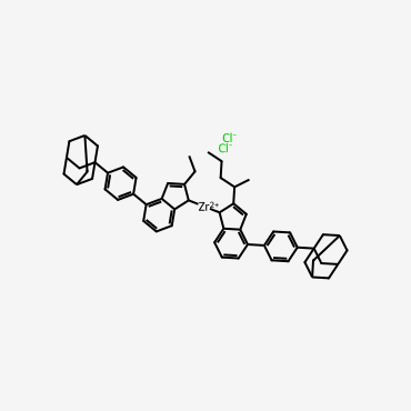 CCCC(C)C1=Cc2c(-c3ccc(C45CC6CC(CC(C6)C4)C5)cc3)cccc2[CH]1[Zr+2][CH]1C(CC)=Cc2c(-c3ccc(C45CC6CC(CC(C6)C4)C5)cc3)cccc21.[Cl-].[Cl-]